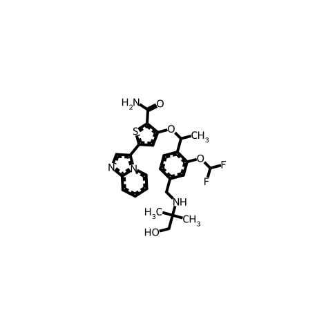 CC(Oc1cc(-c2cnc3ccccn23)sc1C(N)=O)c1ccc(CNC(C)(C)CO)cc1OC(F)F